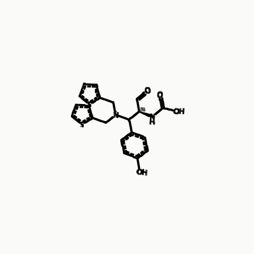 O=C[C@@H](NC(=O)O)C(c1ccc(O)cc1)N(Cc1cccs1)Cc1cccs1